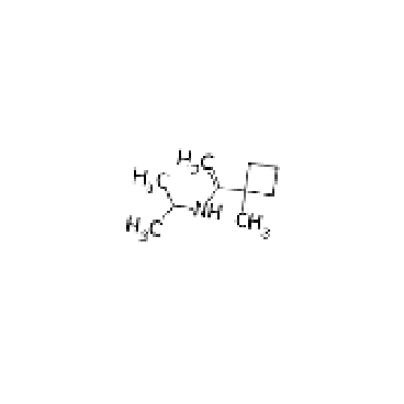 C=C(NC(C)C)C1(C)CCC1